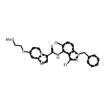 CCc1nn(Cc2ccccc2)c2ccc(Cl)c(NC(=O)c3cnc4cc(OCCOC)ccn34)c12